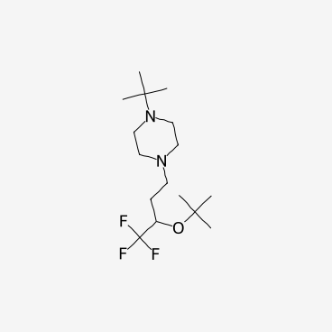 CC(C)(C)OC(CCN1CCN(C(C)(C)C)CC1)C(F)(F)F